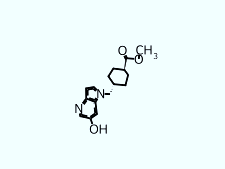 COC(=O)[C@H]1CC[C@H](Cn2ccc3ncc(O)cc32)CC1